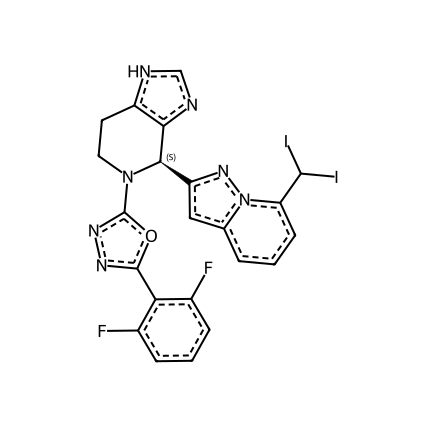 Fc1cccc(F)c1-c1nnc(N2CCc3[nH]cnc3[C@H]2c2cc3cccc(C(I)I)n3n2)o1